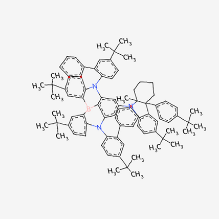 CC(C)(C)c1ccc(C23CCCCC2(C)N(c2cc4c5c(c2)N(c2ccc(C(C)(C)C)cc2-c2ccccc2)c2ccc(C(C)(C)C)cc2B5c2cc(C(C)(C)C)ccc2N4c2ccc(C(C)(C)C)cc2-c2ccccc2)c2ccc(C(C)(C)C)cc23)cc1